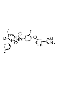 CCn1cc(C(=O)Nc2ccc(Oc3ccnc(-c4cnn(C)c4)c3)c(F)c2)c(=O)n(-c2ccc(F)cc2)c1=O